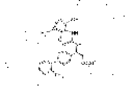 CCOC(=O)C[C@H](NC(=O)Nc1c(O)ccn(C)c1=O)c1ccc(-c2ccccc2C)cc1